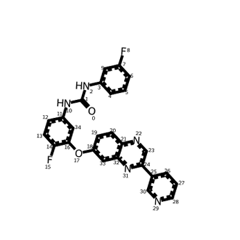 O=C(Nc1cccc(F)c1)Nc1ccc(F)c(Oc2ccc3ncc(-c4cccnc4)nc3c2)c1